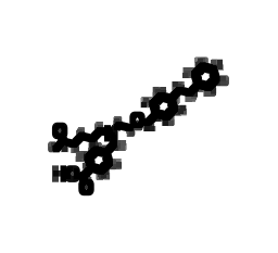 CC(=O)CCCCN(CCOCc1ccc(CCc2ccccc2)cc1)Cc1ccc(C(=O)O)cc1